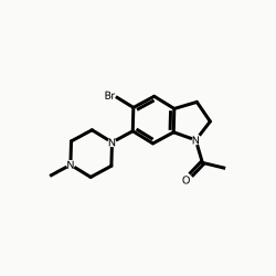 CC(=O)N1CCc2cc(Br)c(N3CCN(C)CC3)cc21